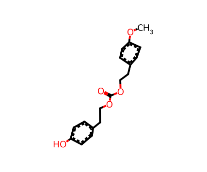 COc1ccc(CCOC(=O)OCCc2ccc(O)cc2)cc1